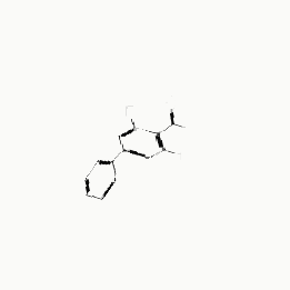 O=C(O)c1c(F)cc(-c2cc[c]cc2)cc1F